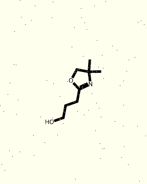 CC1(C)COC(CCCO)=N1